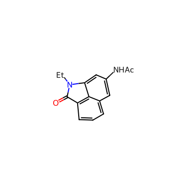 CCN1C(=O)c2cccc3cc(NC(C)=O)cc1c23